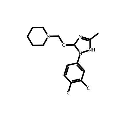 CC1=NC(OCN2CCCCC2)N(c2ccc(Cl)c(Cl)c2)N1